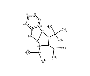 CC(=O)C1C(C(C)(C)C)C2c3cccnc3NC2N1C(C)C